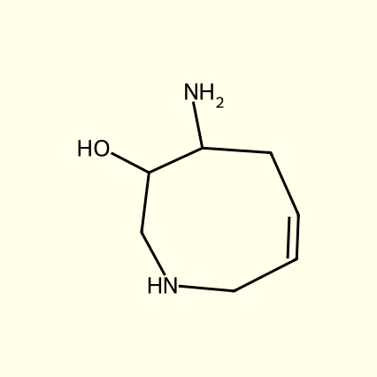 NC1CC=CCNCC1O